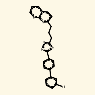 Clc1cccc(-c2ccc(-c3nnc(CCCc4ccc5cccnc5n4)o3)cc2)c1